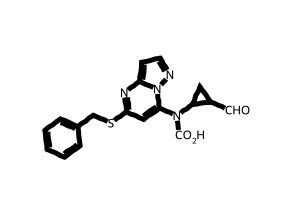 O=CC1CC1N(C(=O)O)c1cc(SCc2ccccc2)nc2ccnn12